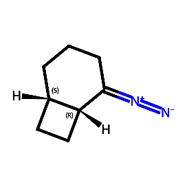 [N-]=[N+]=C1CCC[C@H]2CC[C@@H]12